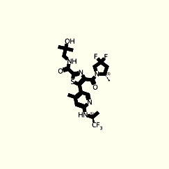 Cc1cc(N[C@@H](C)C(F)(F)F)ncc1-c1sc(C(=O)NCC(C)(C)O)nc1C(=O)N1CC(F)(F)C[C@@H]1C